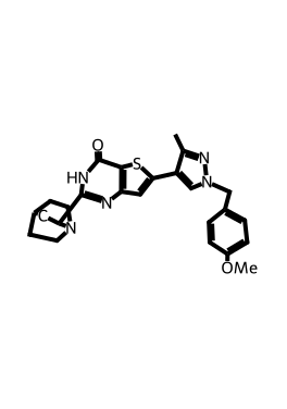 COc1ccc(Cn2cc(-c3cc4nc(C5CC6CCN5CC6)[nH]c(=O)c4s3)c(C)n2)cc1